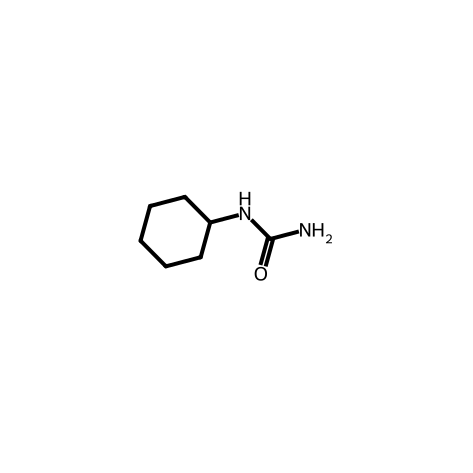 NC(=O)NC1CCCCC1